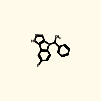 CC(c1ccccc1)n1c2ccc(F)cc2c2[nH]ncc21